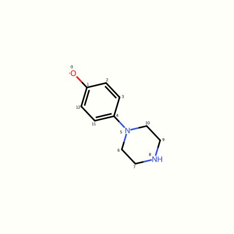 [O]c1ccc(N2CCNCC2)cc1